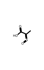 CC(=S=O)C(=O)O